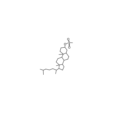 CC(C)CCCC(C)C1CCC2C3CCC4CC(OS(C)(=O)=O)CCC4(C)C3CCC12C